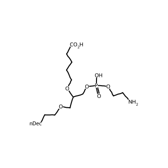 CCCCCCCCCCCCOCC(COP(=O)(O)OCCN)OCCCCC(=O)O